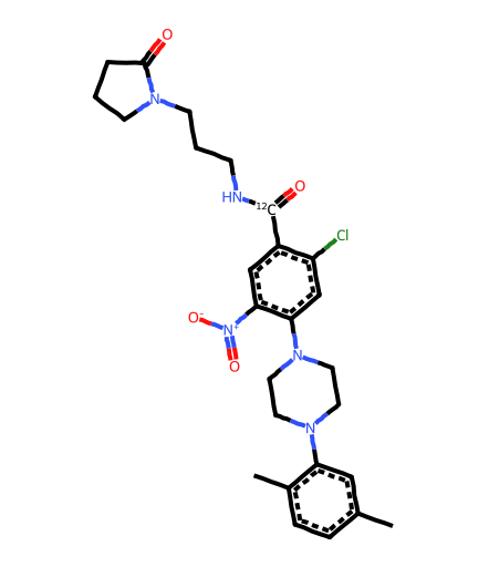 Cc1ccc(C)c(N2CCN(c3cc(Cl)c([12C](=O)NCCCN4CCCC4=O)cc3[N+](=O)[O-])CC2)c1